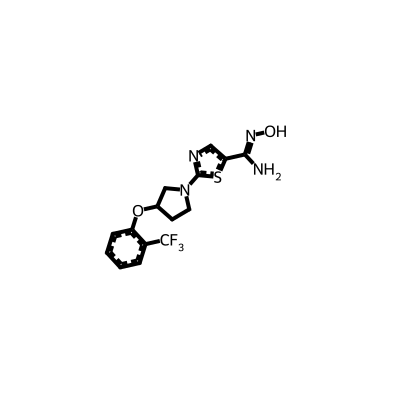 N/C(=N\O)c1cnc(N2CCC(Oc3ccccc3C(F)(F)F)C2)s1